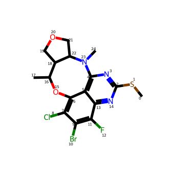 CSc1nc2c3c(c(Cl)c(Br)c(F)c3n1)OC(C)C1COCC1N2C